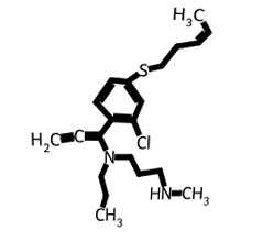 C=C=C(c1ccc(SCC/C=C\C)cc1Cl)N(CCC)CCCNC